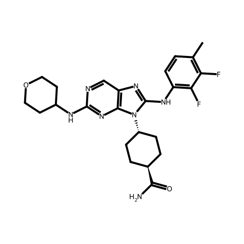 Cc1ccc(Nc2nc3cnc(NC4CCOCC4)nc3n2[C@H]2CC[C@H](C(N)=O)CC2)c(F)c1F